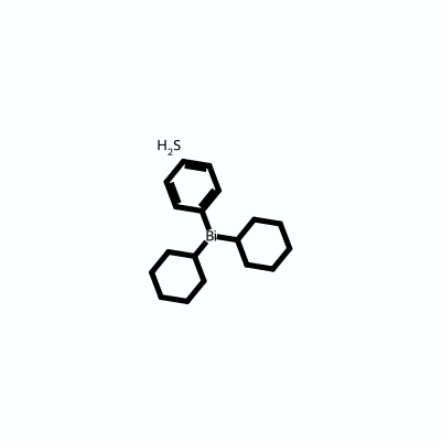 S.c1cc[c]([Bi]([CH]2CCCCC2)[CH]2CCCCC2)cc1